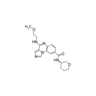 COCCNc1nc2ccc(C(=O)N[C@@H]3CCCOC3)cc2n2cncc12